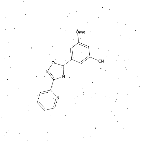 COc1cc(C#N)cc(-c2nc(-c3ccccn3)no2)c1